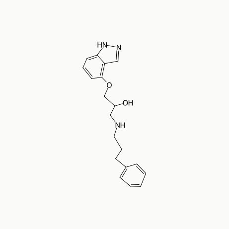 OC(CNCCCc1ccccc1)COc1cccc2[nH]ncc12